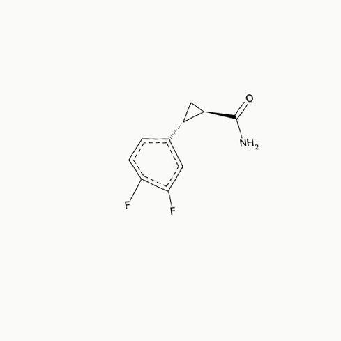 NC(=O)[C@@H]1C[C@H]1c1ccc(F)c(F)c1